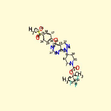 CC(C)(OC(=O)N1CCC(n2ncc3c(Oc4ccc(S(C)(=O)=O)cc4)ncnc32)CC1)C(F)(F)F